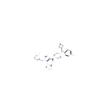 Cc1nc2c(N3C[C@@H](C)N(C(c4ccc(Br)cc4)C4CC(F)(F)C4)C[C@@H]3C)nc3nncn3c2n1CC1CCCO1